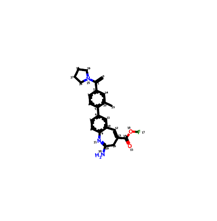 C=C(c1ccc(-c2ccc3c(c2)C=C(C(=O)OF)CC(N)=N3)c(C)c1)N1CCCC1